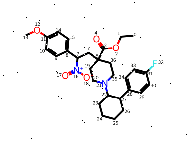 CCOC(=O)C1(CC(c2ccc(OC)cc2)[N+](=O)[O-])CCN(C2CCCCC2c2ccc(F)cc2)CC1